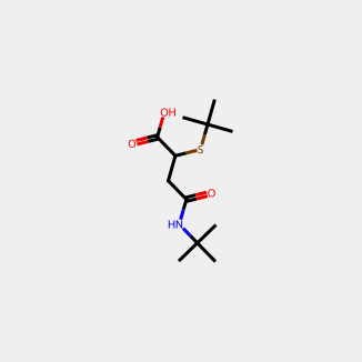 CC(C)(C)NC(=O)CC(SC(C)(C)C)C(=O)O